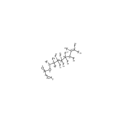 C=CC(=O)OC(F)C(F)(F)C(F)(F)C(F)(F)C(F)(F)C(F)C(F)C(F)F